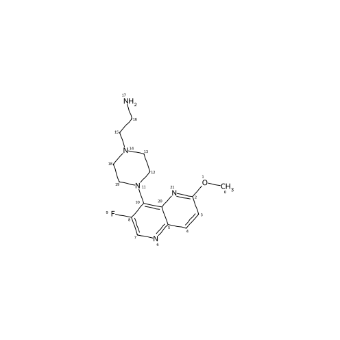 COc1ccc2ncc(F)c(N3CCN(CCN)CC3)c2n1